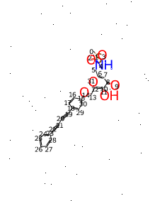 CS(=O)(=O)NCc1cc(=O)c(O)c(COc2ccc(C#CC#Cc3ccccc3)cc2)o1